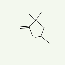 [CH2]C1CC(C)(C)C(=O)O1